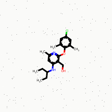 CCC(CC)Nc1cc(C)nc(Oc2c(C)cc(Cl)cc2C)c1CO